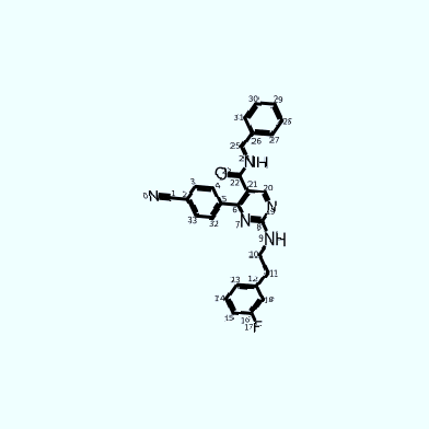 N#Cc1ccc(-c2nc(NCCc3cccc(F)c3)ncc2C(=O)NCc2ccccc2)cc1